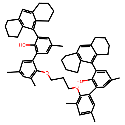 Cc1cc(-c2cc(C)cc(C)c2OCCCOc2c(C)cc(C)cc2-c2cc(C)cc(-c3c4c(cc5c3CCCC5)CCCC4)c2O)c(O)c(-c2c3c(cc4c2CCCC4)CCCC3)c1